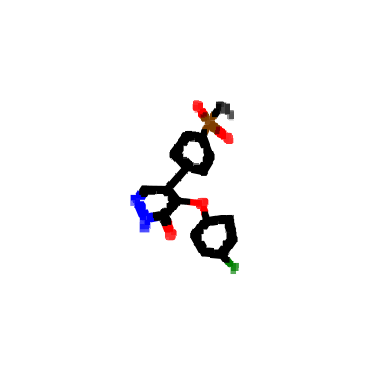 CS(=O)(=O)c1ccc(-c2cn[nH]c(=O)c2Oc2ccc(F)cc2)cc1